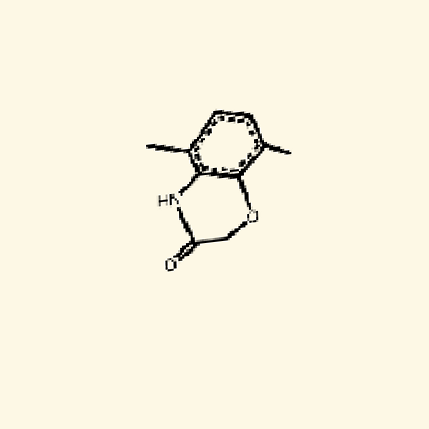 Cc1ccc(C)c2c1NC(=O)CO2